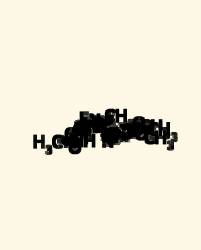 CCCS(=O)(=O)Nc1ccc(F)c(N2C=C(c3cncc(N4CCN(C(=O)OC(C)(C)C)CC4)c3)C(CC)C=N2)c1F